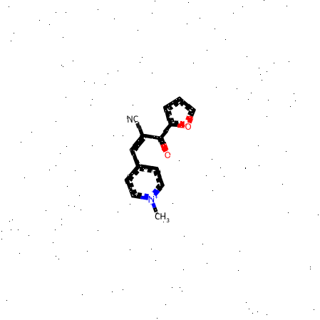 C[n+]1ccc(C=C(C#N)C(=O)c2ccco2)cc1